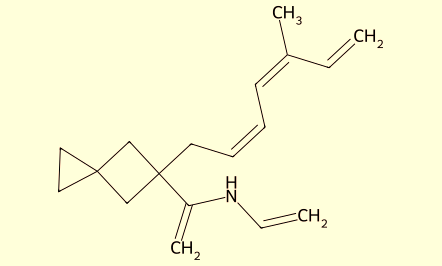 C=CNC(=C)C1(C/C=C\C=C(\C)C=C)CC2(CC2)C1